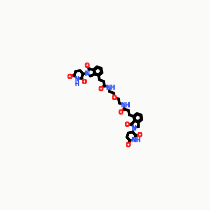 O=C(CCc1cccc2c1CN(C1CCC(=O)NC1=O)C2=O)NCCOCCNC(=O)CCc1cccc2c1C(=O)N(C1CCC(=O)NC1=O)C2